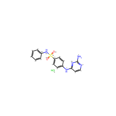 Cl.Nc1nccc(Nc2ccc(S(=O)(=O)Nc3ccccc3)cc2)n1